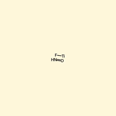 N=O.[F][Ti]